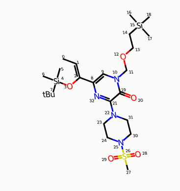 CC=C(O[Si](C)(C)C(C)(C)C)c1cn(COCC[Si](C)(C)C)c(=O)c(N2CCN(S(C)(=O)=O)CC2)n1